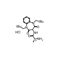 C[C@H](N)C(=O)NC1C(=O)N(CC(C)(C)C)c2ccccc2N(CC(C)(C)C)C1=O.Cl